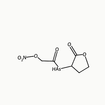 O=C(CO[N+](=O)[O-])[AsH]C1CCOC1=O